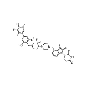 COc1cc(-c2cn(C)c(=O)c(F)c2C)cc(OC)c1CN1CCC(N2CCN(Cc3cccc4c3n(C)c(=O)n4C3CCC(=O)NC3=O)CC2)C(F)(F)C1